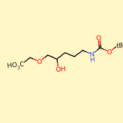 CC(C)(C)OC(=O)NCCCC(O)COCC(=O)O